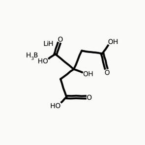 B.O=C(O)CC(O)(CC(=O)O)C(=O)O.[LiH]